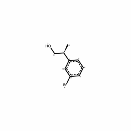 C[C@H](CO)c1cccc(Br)c1